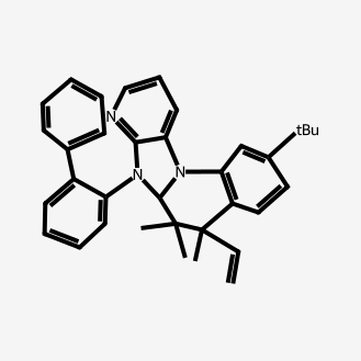 C=CC1(C)c2ccc(C(C)(C)C)cc2N2c3cccnc3N(c3ccccc3-c3ccccc3)C2C1(C)C